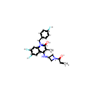 C=CC(=O)N1CC(Nc2c(C#N)c(=O)n(Cc3ccc(F)cc3)c3cc(F)c(F)cc23)C1